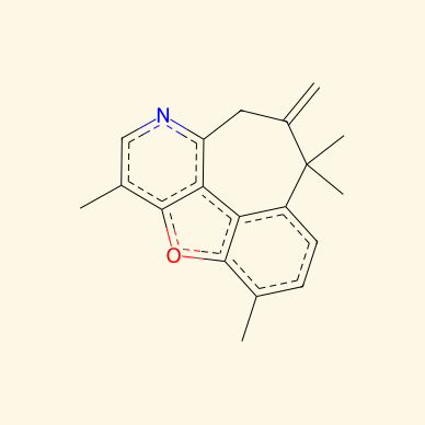 C=C1Cc2ncc(C)c3oc4c(C)ccc(c4c23)C1(C)C